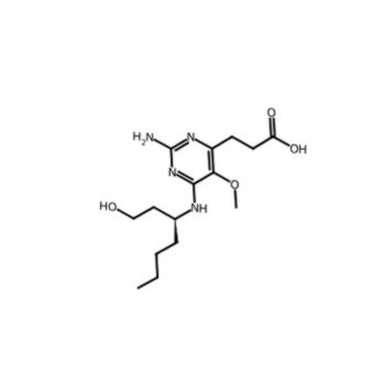 CCCC[C@@H](CCO)Nc1nc(N)nc(CCC(=O)O)c1OC